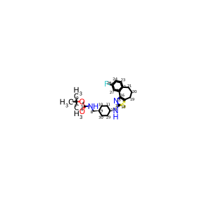 CC(C)(C)OC(=O)NC[C@H]1CC[C@H](Nc2nc3c(s2)CCCc2ccc(F)cc2-3)CC1